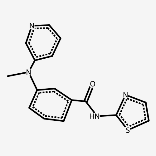 CN(c1cccnc1)c1cccc(C(=O)Nc2nccs2)c1